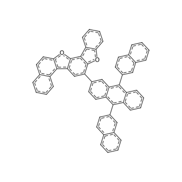 c1ccc2cc(-c3c4ccccc4c(-c4ccc5ccccc5c4)c4cc(-c5cc6c(oc7ccc8ccccc8c76)c6c5oc5ccccc56)ccc34)ccc2c1